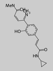 C=C(/C=C\C(=N/C)c1ccc(/C=C/C(=O)NC2CC2)cc1O)NC